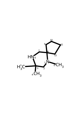 CN1CC(C)(C)NCC12CCCC2